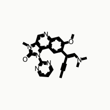 CC#C/C(=C\N(C)C)c1cc2c(cc1OC)ncc1c2n(-c2ncccn2)c(=O)n1C